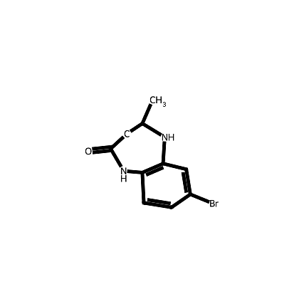 CC1CC(=O)Nc2ccc(Br)cc2N1